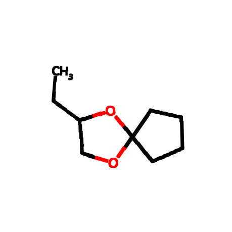 CCC1COC2(CCCC2)O1